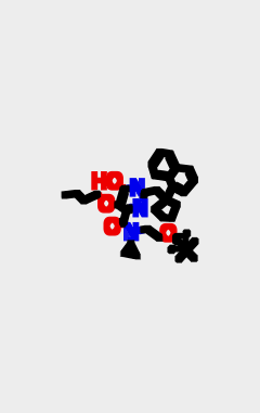 CCCCOc1c(O)nc(CC2(c3cccc4ccccc34)CCCC2)nc1C(=O)N(CCO[Si](C)(C)C(C)(C)C)C1CC1